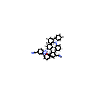 N#Cc1ccc2c(c1)c1ccccc1n2-c1ccccc1-c1c(C#N)ccc(C#N)c1-c1cccc(-n2c3ccccc3c3ccccc32)c1